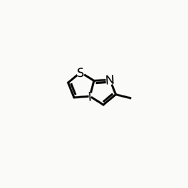 CC1=CI2C=CSC2=N1